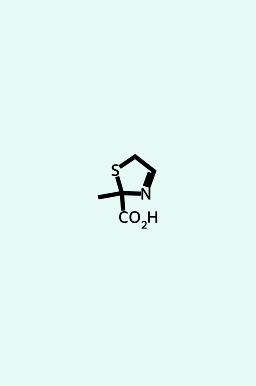 CC1(C(=O)O)N=CCS1